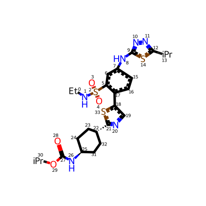 CCNS(=O)(=O)c1cc(Nc2nnc(C(C)C)s2)ccc1-c1cnc([C@H]2CC[C@H](NC(=O)OC(C)C)CC2)s1